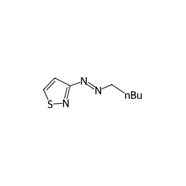 CCCCC/N=N/c1ccsn1